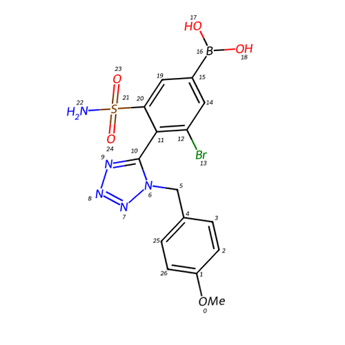 COc1ccc(Cn2nnnc2-c2c(Br)cc(B(O)O)cc2S(N)(=O)=O)cc1